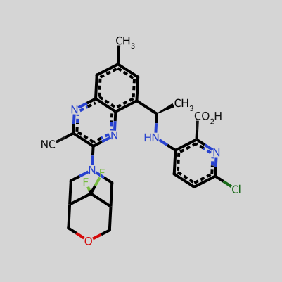 Cc1cc([C@@H](C)Nc2ccc(Cl)nc2C(=O)O)c2nc(N3CC4COCC(C3)C4(F)F)c(C#N)nc2c1